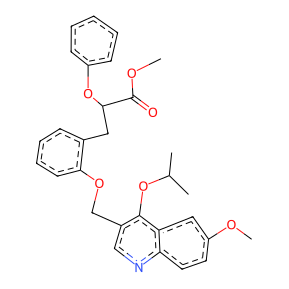 COC(=O)C(Cc1ccccc1OCc1cnc2ccc(OC)cc2c1OC(C)C)Oc1ccccc1